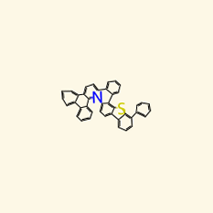 c1ccc(-c2cccc3c2sc2c(-c4ccccc4-c4ccc5c6ccccc6c6ccccc6c5n4)cccc23)cc1